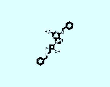 Nc1nc(OCc2ccccc2)c2ncn([C@@H]3C[C@](F)(COCc4ccccc4)[C@H]3O)c2n1